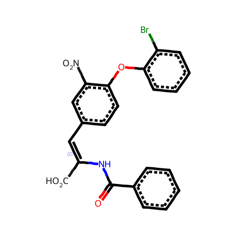 O=C(O)/C(=C/c1ccc(Oc2ccccc2Br)c([N+](=O)[O-])c1)NC(=O)c1ccccc1